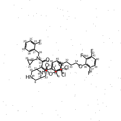 CC(C)(OC(=O)N1C2CNCC1C(C(=O)N(Cc1ccccc1F)C1CC1)=C(c1ccc(CCCOc3c(F)ccc(F)c3F)cc1)C2)C(Cl)(Cl)Cl